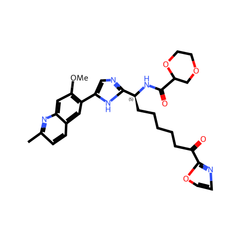 COc1cc2nc(C)ccc2cc1-c1cnc([C@H](CCCCCC(=O)c2ncco2)NC(=O)C2COCCO2)[nH]1